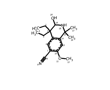 CCC1(CC)c2cc(C#N)c(OC)cc2C(C)(C)NC1O